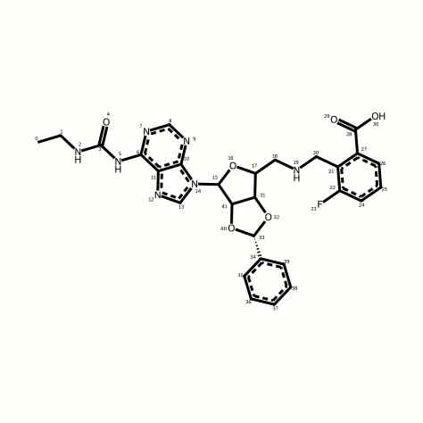 CCNC(=O)Nc1ncnc2c1ncn2C1OC(CNCc2c(F)cccc2C(=O)O)C2O[C@H](c3ccccc3)OC21